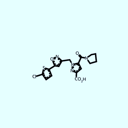 O=C(O)c1cc(C(=O)N2CCCC2)n(Cc2cc(-c3ccc(Cl)s3)on2)n1